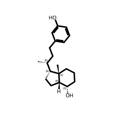 C[C@H](CCc1cccc(O)c1)[C@H]1CC[C@H]2[C@@H](O)CCC[C@@]12C